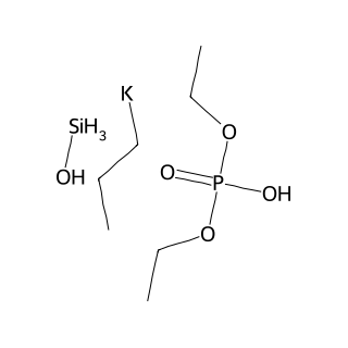 CCOP(=O)(O)OCC.CC[CH2][K].O[SiH3]